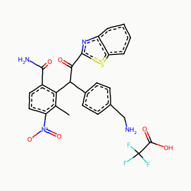 Cc1c([N+](=O)[O-])ccc(C(N)=O)c1C(C(=O)c1nc2ccccc2s1)c1ccc(CN)cc1.O=C(O)C(F)(F)F